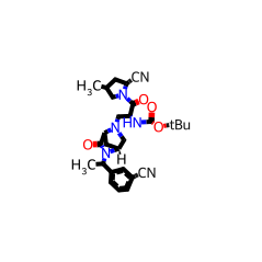 CC1CC(C#N)N(C(=O)C(CN2C[C@@H]3CC2C(=O)N3C(C)c2cccc(C#N)c2)NC(=O)OC(C)(C)C)C1